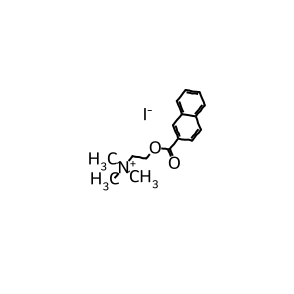 C[N+](C)(C)CCOC(=O)c1ccc2ccccc2c1.[I-]